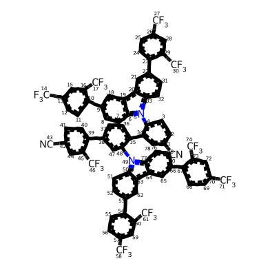 N#Cc1ccc(-n2c3ccc(-c4ccc(C(F)(F)F)cc4C(F)(F)F)cc3c3cc(-c4ccc(C(F)(F)F)cc4C(F)(F)F)ccc32)c(-c2ccc(-c3ccc(C#N)cc3C(F)(F)F)cc2-n2c3ccc(-c4ccc(C(F)(F)F)cc4C(F)(F)F)cc3c3cc(-c4ccc(C(F)(F)F)cc4C(F)(F)F)ccc32)c1